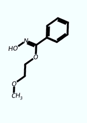 COCCOC(=NO)c1ccccc1